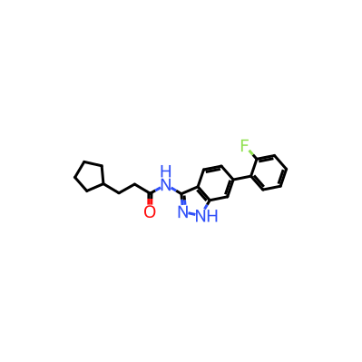 O=C(CCC1CCCC1)Nc1n[nH]c2cc(-c3ccccc3F)ccc12